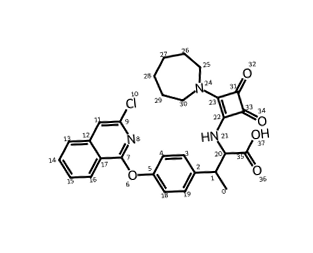 CC(c1ccc(Oc2nc(Cl)cc3ccccc23)cc1)C(Nc1c(N2CCCCCC2)c(=O)c1=O)C(=O)O